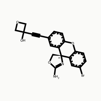 NC1=N[C@@]2(CO1)c1cc(Br)ccc1Oc1ccc(C#CC3(O)COC3)cc12